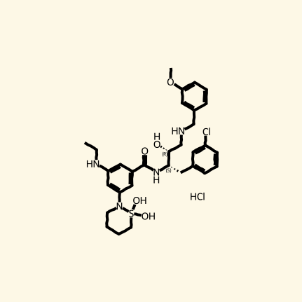 CCNc1cc(C(=O)N[C@@H](Cc2cccc(Cl)c2)[C@H](O)CNCc2cccc(OC)c2)cc(N2CCCCS2(O)O)c1.Cl